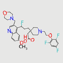 COc1ccc2ncc(CN3CCOCC3)c([C@@H](F)CCC3(CC(=O)O)CCN(CCOc4c(F)cc(F)cc4F)CC3)c2c1